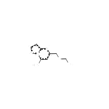 CCOCc1cc(N)n2nccc2n1